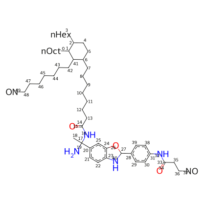 CCCCCCCCC1C(CCCCCC)CCC(CCCCCCCC(=O)NC(C)(N)c2ccc3c(c2)OC(c2ccc(NC(=O)CCN=O)cc2)N3)C1CCCCCCCN=O